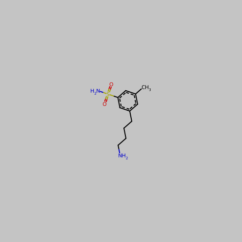 Cc1cc(CCCCN)cc(S(N)(=O)=O)c1